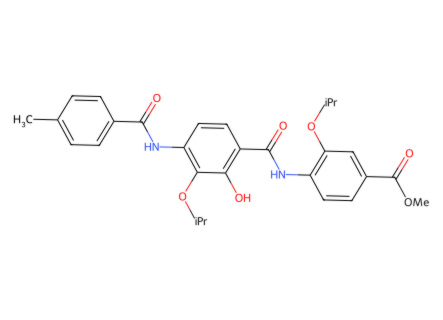 COC(=O)c1ccc(NC(=O)c2ccc(NC(=O)c3ccc(C)cc3)c(OC(C)C)c2O)c(OC(C)C)c1